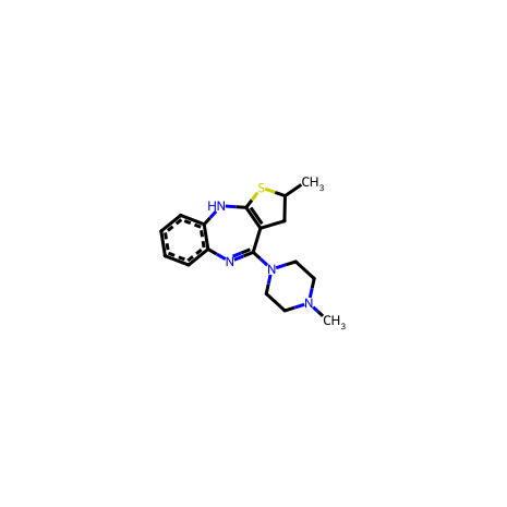 CC1CC2=C(Nc3ccccc3N=C2N2CCN(C)CC2)S1